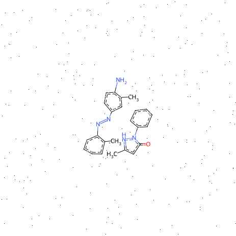 Cc1cc(=O)n(-c2ccccc2)[nH]1.Cc1cc(N=Nc2ccccc2C)ccc1N